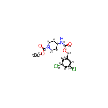 CC(C)(C)OC(=O)N1CCC(NC(=O)OCc2cc(Cl)cc(Cl)c2)CC1